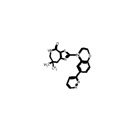 CC1(C)CNC(=O)c2sc(N3CCOc4ccc(-c5cccnn5)cc43)nc2C1